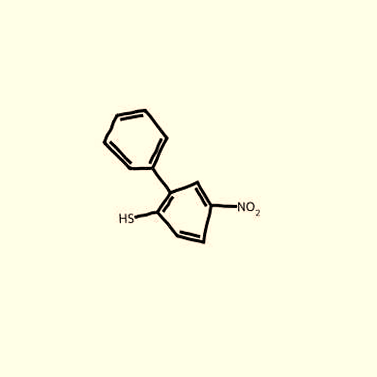 O=[N+]([O-])c1ccc(S)c(-c2ccccc2)c1